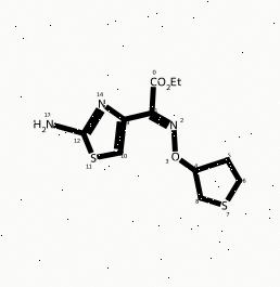 CCOC(=O)C(=NOC1CCSC1)c1csc(N)n1